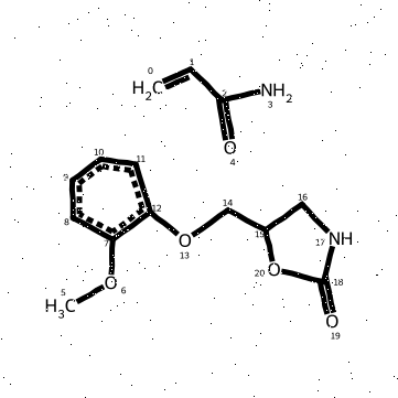 C=CC(N)=O.COc1ccccc1OCC1CNC(=O)O1